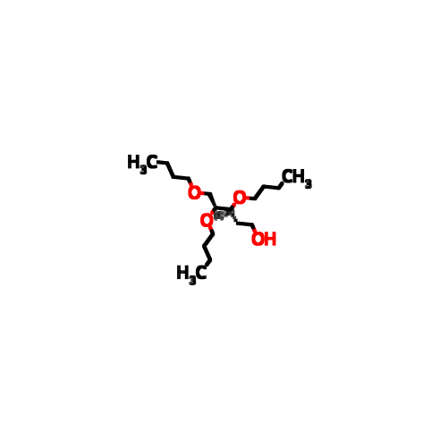 CCCCOC[C@H](OCCCC)[C@@H](CCO)OCCCC